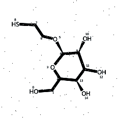 OCC1O[C@@H](OCCS)[C@@H](O)C(O)[C@H]1O